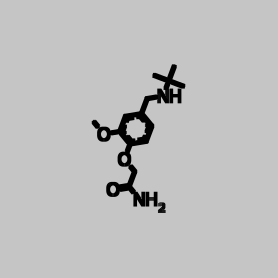 COc1cc(CNC(C)(C)C)ccc1OCC(N)=O